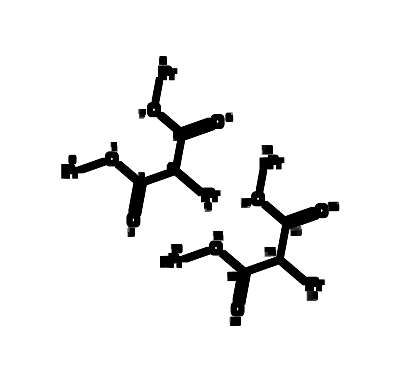 CC(C)OC(=O)C(C(=O)OC(C)C)C(C)C.CCCOC(=O)C(C(=O)OCCC)C(C)C